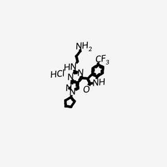 Cl.NCCCNc1nc(C2C(=O)Nc3ccc(C(F)(F)F)cc32)c2cn(C3CCCC3)nc2n1